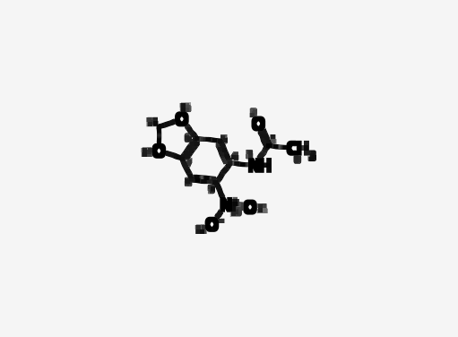 CC(=O)Nc1cc2c(cc1[N+](=O)[O-])OCO2